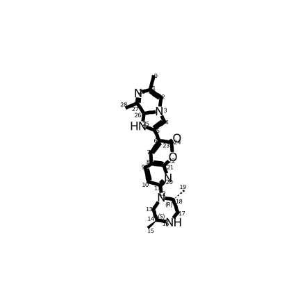 CC1=CN2C=C(c3cc4ccc(N5C[C@H](C)NC[C@H]5C)nc4oc3=O)NC2C(C)=N1